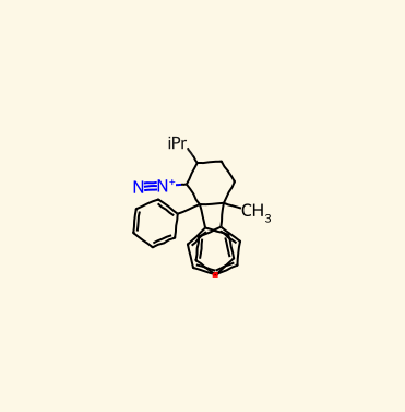 CC(C)C1CCC(C)(c2ccccc2)C(c2ccccc2)(c2ccccc2)C1[N+]#N